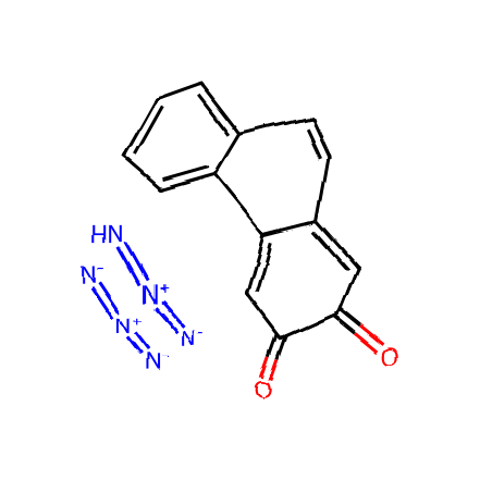 O=C1C=c2ccc3ccccc3c2=CC1=O.[N-]=[N+]=N.[N-]=[N+]=[N-]